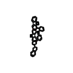 c1cc(-c2cccc(N(c3ccccc3-c3cccc4c3oc3ccccc34)c3cccc4sc5ccccc5c34)c2)cc(-c2ccc3ccccc3c2)c1